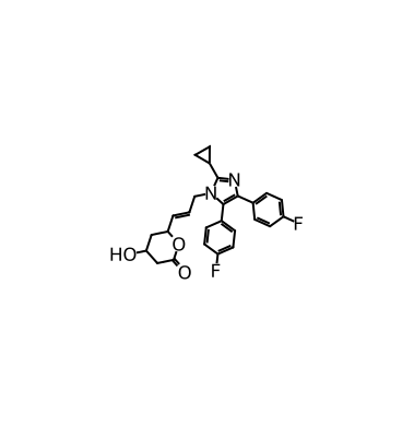 O=C1CC(O)CC(C=CCn2c(C3CC3)nc(-c3ccc(F)cc3)c2-c2ccc(F)cc2)O1